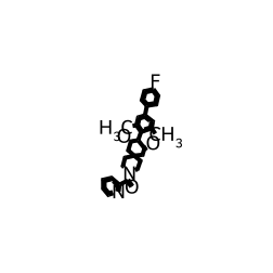 Cc1cc(-c2ccc(F)cc2)cc(C)c1C1C(=O)CC2(CCN(C(=O)c3ccccn3)CC2)CC1=O